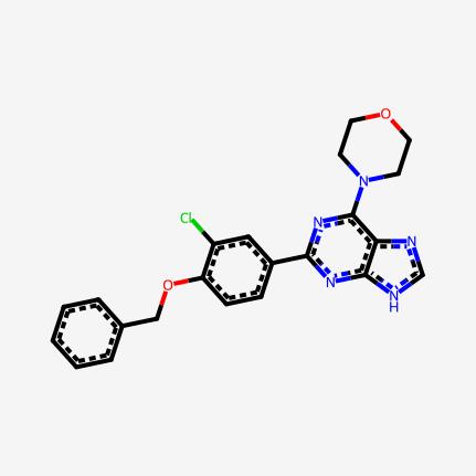 Clc1cc(-c2nc(N3CCOCC3)c3nc[nH]c3n2)ccc1OCc1ccccc1